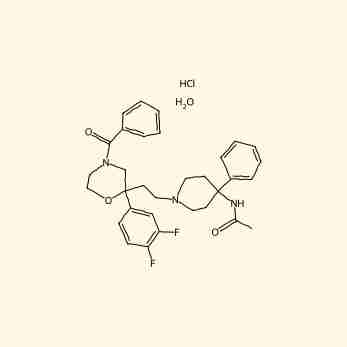 CC(=O)NC1(c2ccccc2)CCN(CCC2(c3ccc(F)c(F)c3)CN(C(=O)c3ccccc3)CCO2)CC1.Cl.O